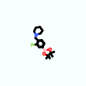 CC1(C)OB(c2ccc(CN3CCCCC3)c(F)c2)OC1(C)C